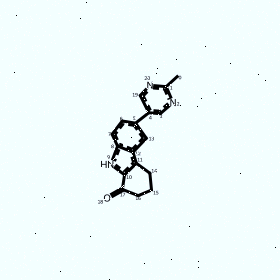 Cc1ncc(-c2ccc3[nH]c4c(c3c2)CCCC4=O)cn1